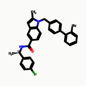 Cc1cc2cc(C(=O)N[C@@H](C)c3ccc(Br)cc3)ccc2n1Cc1ccc(-c2ccccc2C(C)(C)C)cc1